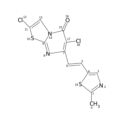 Cc1ncc(/C=C/c2nc3sc(Cl)cn3c(=O)c2Cl)s1